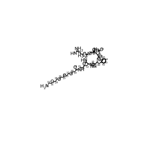 N=C(N)NCCC[C@@H]1NC(=O)[C@H](CCCCNC(=O)CCOCCOCCOCCOCCN)n2cc(nn2)[C@H](Cc2ccccc2)NC(=O)[C@H](CC(=O)O)NC(=O)CNC1=O